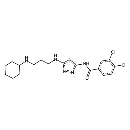 O=C(Nc1nnc(NCCCNC2CCCCC2)s1)c1ccc(Cl)c(Cl)c1